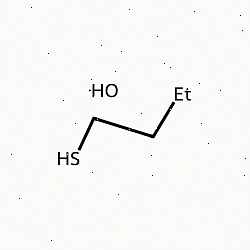 CCCCS.[OH]